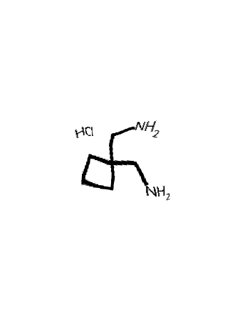 Cl.NCC1(CN)CCC1